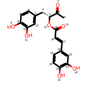 CC(=O)[C@@H](Cc1ccc(O)c(O)c1)OC(=O)/C=C/c1ccc(O)c(O)c1